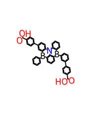 O=C(O)c1ccc(-c2cccc(B3c4ccccc4N4c5ccc(-c6ccc(C(=O)O)cc6)cc5B(c5ccccc5)c5cccc3c54)c2)cc1